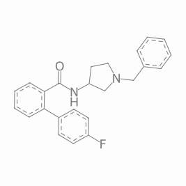 O=C(NC1CCN(Cc2ccccc2)C1)c1ccccc1-c1ccc(F)cc1